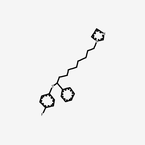 Fc1ccc(SC(CCCCCCCCn2ccnc2)c2ccccc2)cc1